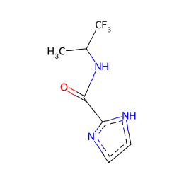 CC(NC(=O)c1ncc[nH]1)C(F)(F)F